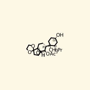 CCC[C@H]1C[C@@H](O)CC[C@]1(C)[C@H]1CC[C@@]2(C)[C@@H](CCC23OCCO3)[C@@H]1OC(C)=O